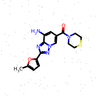 Cc1ccc(-c2nc3c(N)cc(C(=O)N4CCSCC4)cn3n2)o1